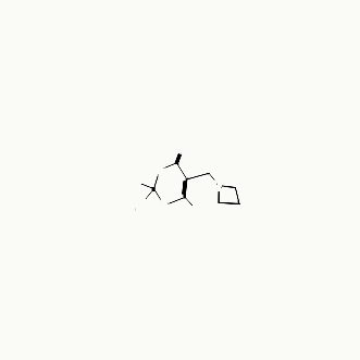 CC1(C)OC(=O)C(CN2CCC2)=C(O)O1